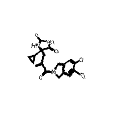 CC(CC1(C2CC2)NC(=O)NC1=O)C(=O)N1Cc2cc(Cl)c(Cl)cc2C1